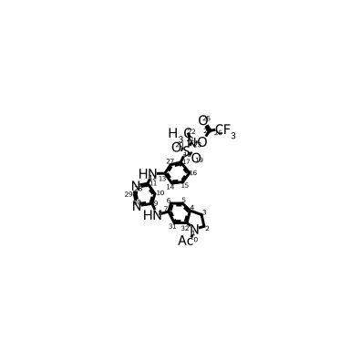 CC(=O)N1CCc2ccc(Nc3cc(Nc4cccc(S(=O)(=O)N(C)OC(=O)C(F)(F)F)c4)ncn3)cc21